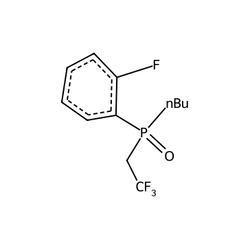 CCCCP(=O)(CC(F)(F)F)c1ccccc1F